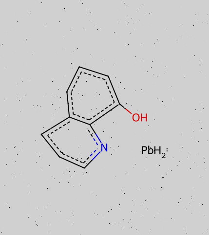 Oc1cccc2cccnc12.[PbH2]